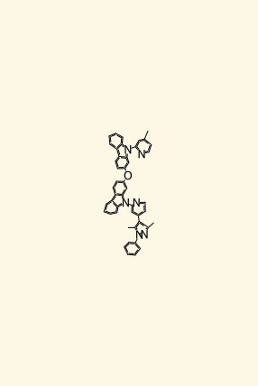 Cc1ccnc(-n2c3ccccc3c3ccc(Oc4ccc5c6ccccc6n(-c6cc(-c7c(C)nn(-c8ccccc8)c7C)ccn6)c5c4)cc32)c1